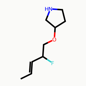 C/C=C/C(F)COC1CCNC1